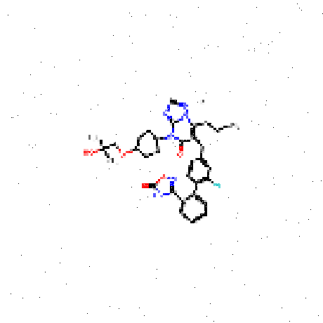 CCCc1c(Cc2ccc(-c3ccccc3-c3noc(=O)[nH]3)c(F)c2)c(=O)n(C2CCC(OCC(C)(C)O)CC2)c2ncnn12.[KH]